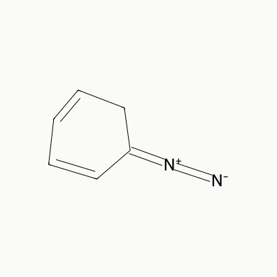 [N-]=[N+]=C1C=CC=CC1